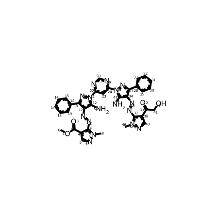 COC(=O)c1cnn(C)c1/N=N/c1c(-c2ccccc2)nn(-c2cc(-n3nc(-c4ccccc4)c(/N=N/c4c(C(=O)CO)cnn4C)c3N)ncn2)c1N